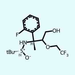 CC(C)(C)[S@@+]([O-])N[C@](C)(c1ccccc1F)C(CO)OCC(F)(F)F